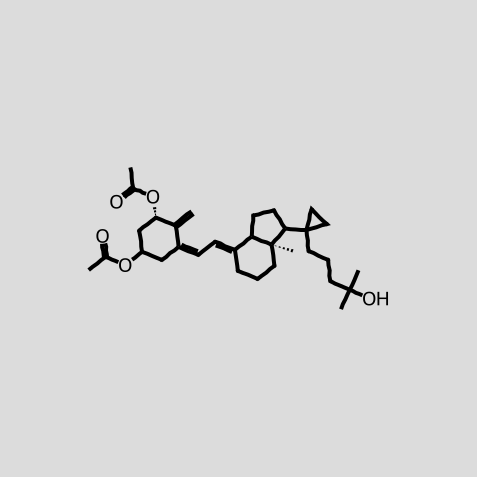 C=C1/C(=C\C=C2/CCC[C@@]3(C)C2CCC3C2(CCCC(C)(C)O)CC2)CC(OC(C)=O)C[C@@H]1OC(C)=O